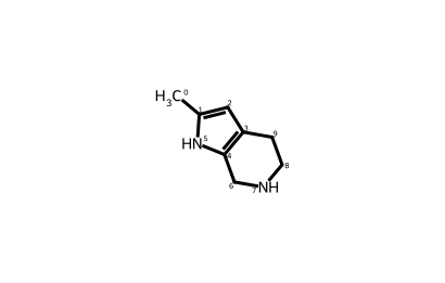 Cc1cc2c([nH]1)CNCC2